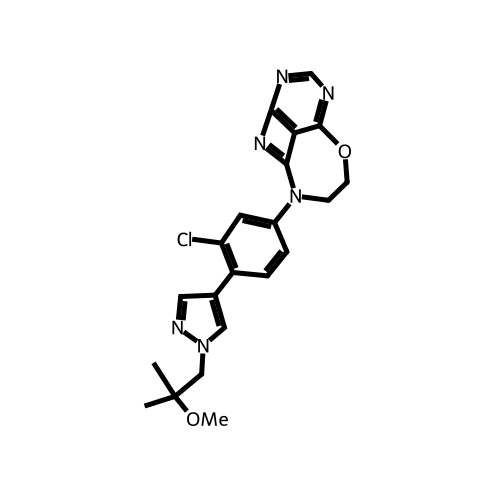 COC(C)(C)Cn1cc(-c2ccc(N3CCOc4ncnc5c4C3=N5)cc2Cl)cn1